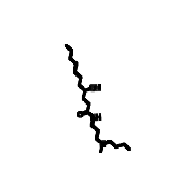 CCCCCCCC(O)CCC(=O)NCCCN(C)CCCC